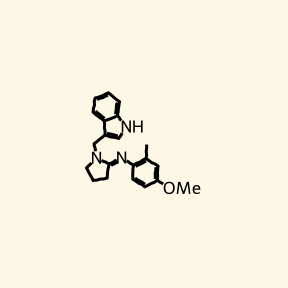 COc1ccc(N=C2CCCN2Cc2c[nH]c3ccccc23)c(C)c1